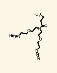 [N-]=[N+]=NCCOCCN(CCOCCN=[N+]=[N-])C(=O)CCC(=O)O